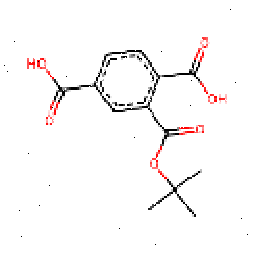 CC(C)(C)OC(=O)c1cc(C(=O)O)ccc1C(=O)O